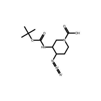 CC(C)(C)OC(=O)NC1CN(C(=O)O)CCC1N=[N+]=[N-]